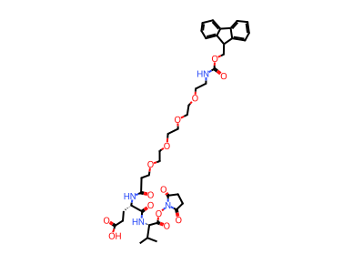 CC(C)[C@H](NC(=O)[C@H](CCC(=O)O)NC(=O)CCOCCOCCOCCOCCNC(=O)OCC1c2ccccc2-c2ccccc21)C(=O)ON1C(=O)CCC1=O